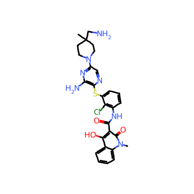 Cn1c(=O)c(C(=O)Nc2cccc(Sc3ncc(N4CCC(C)(CN)CC4)nc3N)c2Cl)c(O)c2ccccc21